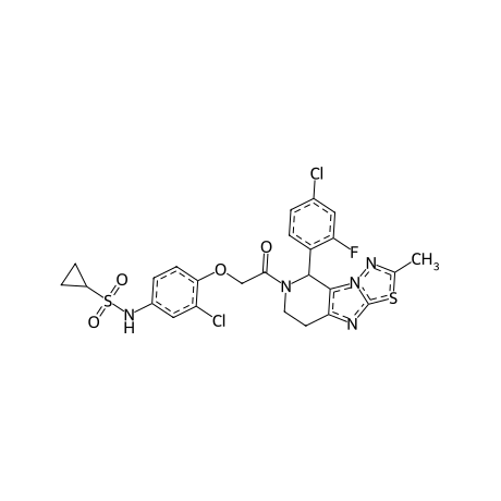 Cc1nn2c3c(nc2s1)CCN(C(=O)COc1ccc(NS(=O)(=O)C2CC2)cc1Cl)C3c1ccc(Cl)cc1F